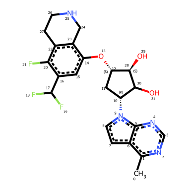 Cc1ncnc2c1ccn2[C@@H]1C[C@H](Oc2cc(C(F)F)c(F)c3c2CNCC3)[C@@H](O)C1O